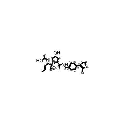 C/C=C/[C@H](NC(C)O)C1(N2C[C@H](O)C[C@H]2C(=O)NCc2ccc(-c3scnc3C)cc2)CO1